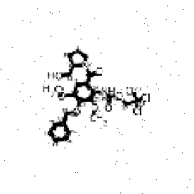 COc1cc(C(=O)N2CCCC2CO)c(NC(=O)OCC(Cl)(Cl)Cl)c(OC)c1OCc1ccccc1